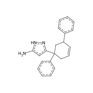 Nc1cc(C2(c3ccccc3)CC=CC(c3ccccc3)C2)n[nH]1